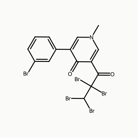 Cn1cc(C(=O)C(Br)(Br)C(Br)Br)c(=O)c(-c2cccc(Br)c2)c1